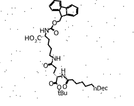 CCCCCCCCCCCCCCCC(=O)N[C@@H](CCC(=O)NCCCC[C@@H](NC(=O)OCC1c2ccccc2-c2ccccc21)C(=O)O)C(=O)OC(C)(C)C